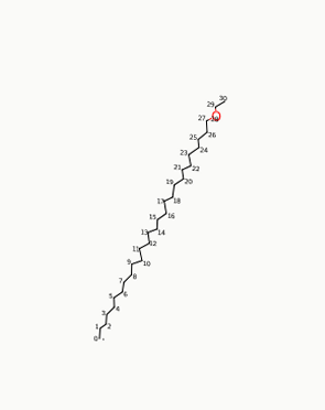 [CH2]CCCCCCCCCCCCCCCCCCCCCCCCCCCOCC